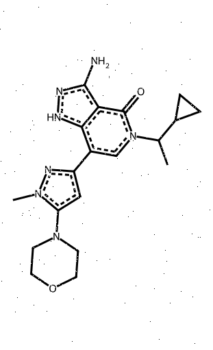 CC(C1CC1)n1cc(-c2cc(N3CCOCC3)n(C)n2)c2[nH]nc(N)c2c1=O